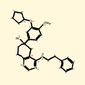 COc1ccc(C2(C#N)CCc3ncnc(NCCc4ccccc4)c3C2)cc1OC1CCCC1